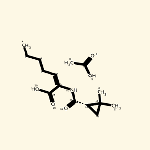 CC(=O)O.CCCCC=C(NC(=O)[C@H]1CC1(C)C)C(=O)O